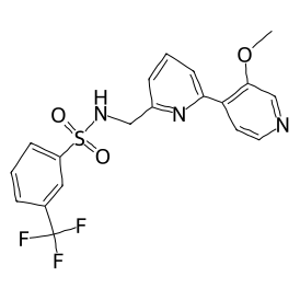 COc1cnccc1-c1cccc(CNS(=O)(=O)c2cccc(C(F)(F)F)c2)n1